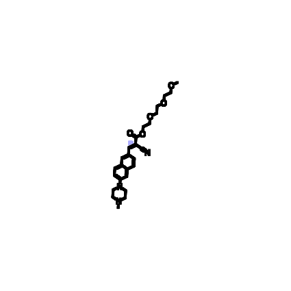 COCCOCCOCCOC(=O)/C(C#N)=C/c1ccc2cc(N3CCN(C)CC3)ccc2c1